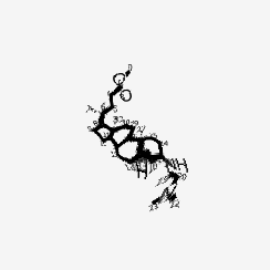 COC(=O)CC[C@@H](C)C1CCC2C3CC[C@@H]4C[C@H](NCCN(C)C)CC[C@]4(C)C3CC[C@@]21C